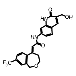 O=C(/C=C1\CCOCc2cc(C(F)(F)F)ccc21)Nc1ccc2cc(CO)c(=O)[nH]c2c1